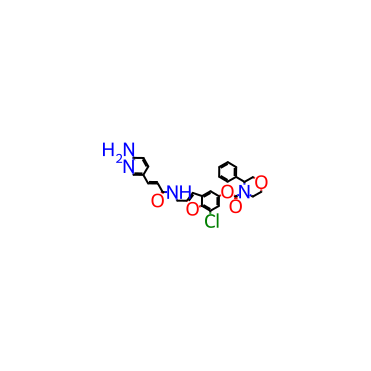 Nc1ccc(C=CC(=O)NCc2cc3cc(OC(=O)N4CCOCC4c4ccccc4)cc(Cl)c3o2)cn1